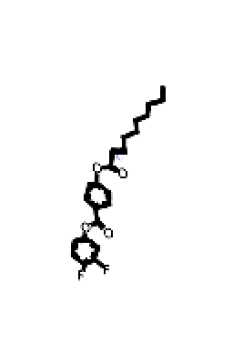 CCCCCCC/C=C/C(=O)Oc1ccc(C(=O)Oc2ccc(F)c(F)c2)cc1